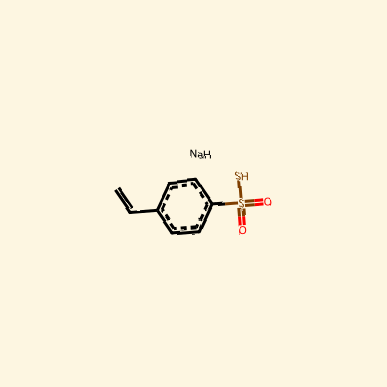 C=Cc1ccc(S(=O)(=O)S)cc1.[NaH]